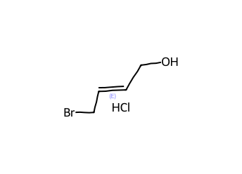 Cl.OC/C=C/CBr